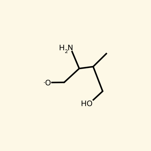 CC(CO)C(N)C[O]